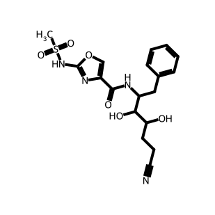 CS(=O)(=O)Nc1nc(C(=O)NC(Cc2ccccc2)C(O)C(O)CCC#N)co1